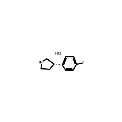 Cl.Fc1ccc([C@@H]2CCNC2)cc1